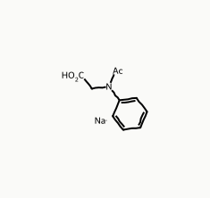 CC(=O)N(CC(=O)O)c1ccccc1.[Na]